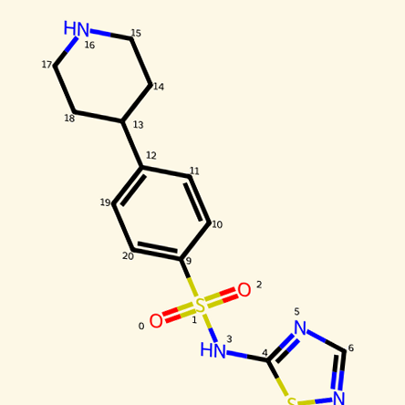 O=S(=O)(Nc1ncns1)c1ccc(C2CCNCC2)cc1